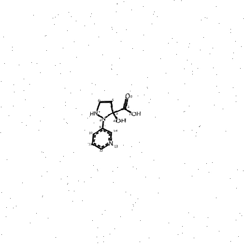 O=C(O)C1(O)CCNN1c1cccnc1